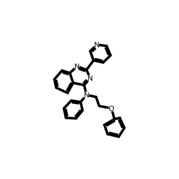 c1ccc(OCCN(c2ccccc2)c2nc(-c3cccnc3)nc3ccccc23)cc1